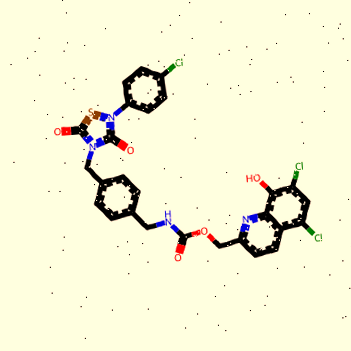 O=C(NCc1ccc(Cn2c(=O)sn(-c3ccc(Cl)cc3)c2=O)cc1)OCc1ccc2c(Cl)cc(Cl)c(O)c2n1